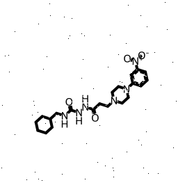 O=C(CCN1CCN(c2cccc([N+](=O)[O-])c2)CC1)NNC(=O)NCC1CCCCC1